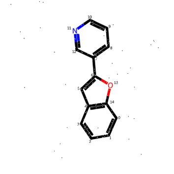 [c]1cccc2cc(-c3cccnc3)oc12